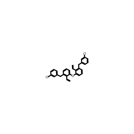 C=Cc1c(Cc2cccc(Cl)c2)cccc1Oc1cccc(Cc2cccc(Cl)c2)c1C=C